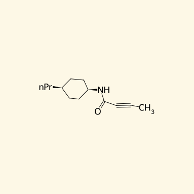 CC#CC(=O)N[C@H]1CC[C@@H](CCC)CC1